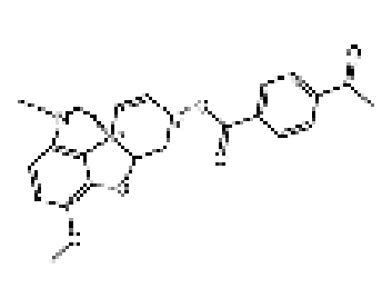 COc1ccc2c3c1OC1C[C@@H](OC(=O)c4ccc(C(C)=O)cc4)C=C[C@@]31CCN2C